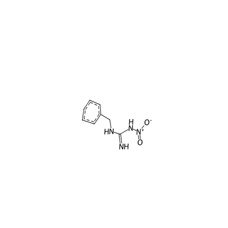 N=C(NCc1ccccc1)N[N+](=O)[O-]